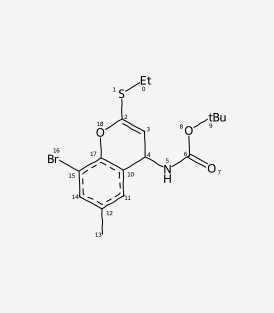 CCSC1=CC(NC(=O)OC(C)(C)C)c2cc(C)cc(Br)c2O1